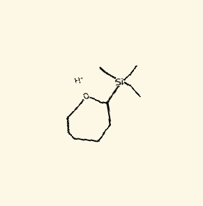 C[Si](C)(C)C1CCCCO1.[H+]